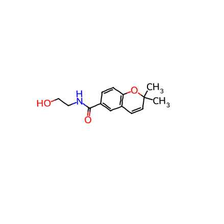 CC1(C)C=Cc2cc(C(=O)NCCO)ccc2O1